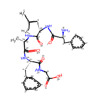 CC(C)C[C@H](NC(=O)[C@@H](N)Cc1ccccc1)C(=O)N[C@@H](C)C(=O)N[C@@H](Cc1ccccc1)C(=O)NCC(=O)O